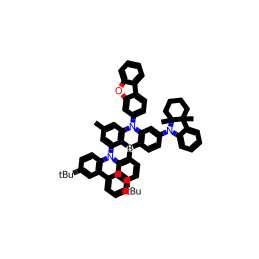 Cc1cc2c3c(c1)N(c1ccc(C(C)(C)C)cc1-c1ccccc1)c1cc(C(C)(C)C)ccc1B3c1ccc(N3c4ccccc4C4(C)CCCCC34C)cc1N2c1ccc2c(c1)oc1ccccc12